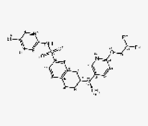 CCc1cnc(NS(=O)(=O)c2ccc3c(c2)CC([C@H](C)c2ccc(OCC(F)F)nc2)CC3)cn1